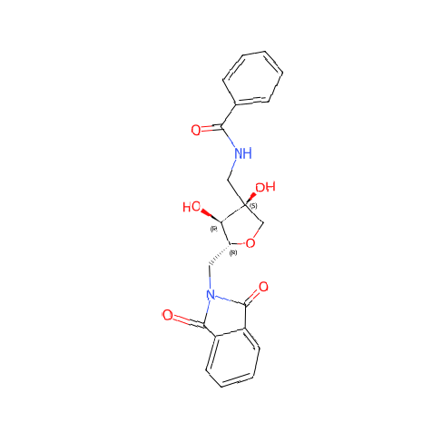 O=C(NC[C@]1(O)CO[C@H](CN2C(=O)c3ccccc3C2=O)[C@H]1O)c1ccccc1